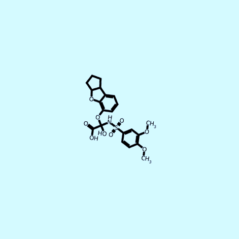 COc1ccc(S(=O)(=O)NC(O)(Oc2cccc3c2OC2CCCC32)C(=O)O)cc1OC